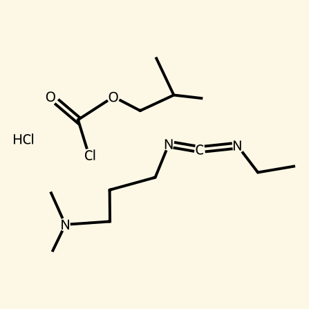 CC(C)COC(=O)Cl.CCN=C=NCCCN(C)C.Cl